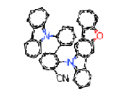 N#Cc1cccc(-c2ccccc2-n2c3ccccc3c3ccccc32)c1-n1c2ccccc2c2cc3oc4ccccc4c3cc21